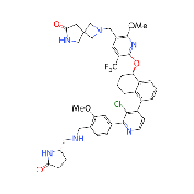 COc1cc(-c2nccc(-c3cccc4c3CCC[C@H]4Oc3nc(OC)c(CN4CC5(CNC(=O)C5)C4)cc3C(F)(F)F)c2Cl)ccc1CNC[C@@H]1CCC(=O)N1